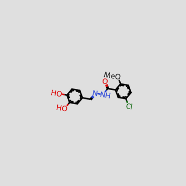 COc1ccc(Cl)cc1C(=O)NN=Cc1ccc(O)c(O)c1